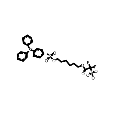 CS(=O)(=O)OCCCCCCOC(=O)C(F)(F)S(=O)(=O)[O-].c1ccc([S+](c2ccccc2)c2ccccc2)cc1